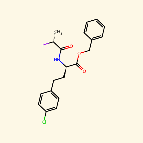 C[C@@H](I)C(=O)N[C@H](CCc1ccc(Cl)cc1)C(=O)OCc1ccccc1